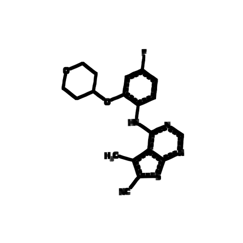 Cc1c(C#N)sc2ncnc(Nc3ccc(F)cc3OC3CCOCC3)c12